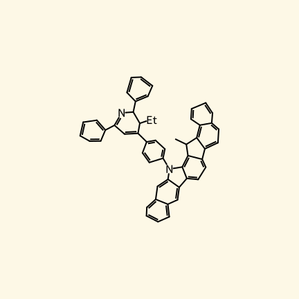 CCC1C(c2ccc(-n3c4cc5ccccc5cc4c4ccc5c(c43)C(C)c3c-5ccc4ccccc34)cc2)=CC(c2ccccc2)=NC1c1ccccc1